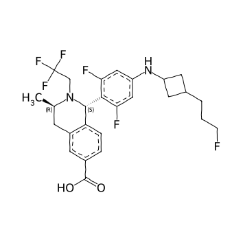 C[C@@H]1Cc2cc(C(=O)O)ccc2[C@@H](c2c(F)cc(NC3CC(CCCF)C3)cc2F)N1CC(F)(F)F